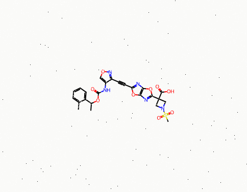 Cc1ccccc1C(C)OC(=O)Nc1conc1C#Cc1nc2oc(C3(C(=O)O)CN(S(C)(=O)=O)C3)nc2o1